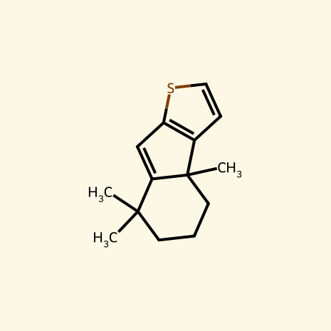 CC1(C)CCCC2(C)C1=Cc1sccc12